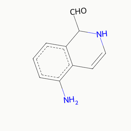 Nc1cccc2c1C=CNC2C=O